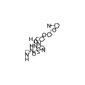 Cc1cc(Oc2cccc(COc3ccccc3C#N)c2)ccc1N1C(=O)Nc2c(C(=O)NC3CCCNC3)sc3nccc1c23